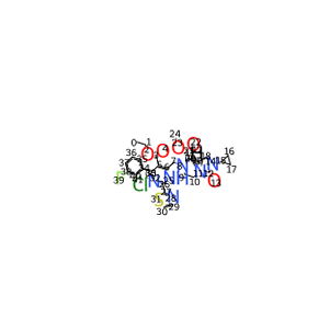 CCOC(=O)C1=C(CN2CCN3C(=O)N(C4CC4)C[C@H]3[C@@H]2C(=O)OC)NC(c2nccs2)=N[C@H]1c1cccc(F)c1Cl